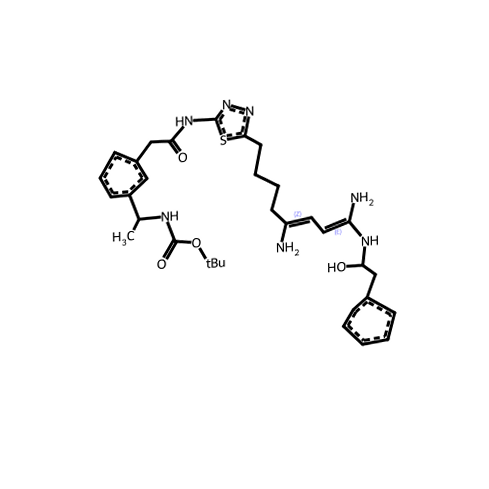 CC(NC(=O)OC(C)(C)C)c1cccc(CC(=O)Nc2nnc(CCCC/C(N)=C/C=C(\N)NC(O)Cc3ccccc3)s2)c1